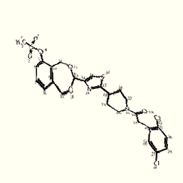 CS(=O)(=O)Oc1cccc2c1COC(c1csc(C3CCN(C(=O)Cc4cc(Cl)ccc4Cl)CC3)n1)OC2